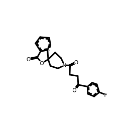 O=C(CCC(=O)N1CCC2(CC1)OC(=O)c1ccccc12)c1ccc(F)cc1